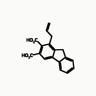 C=CCc1c2c(cc(C(=O)O)c1C(=O)O)-c1ccccc1C2